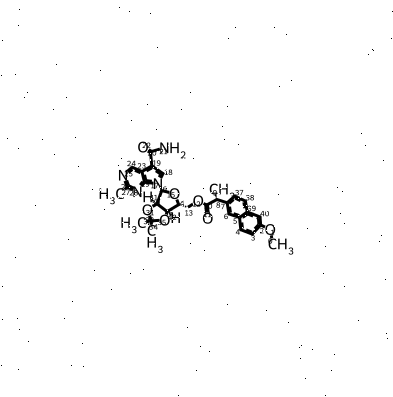 COc1ccc2cc([C@@H](C)C(=O)OC[C@H]3O[C@@H](n4cc(C(N)=O)c5cnc(C)nc54)[C@@H]4OC(C)(C)O[C@@H]43)ccc2c1